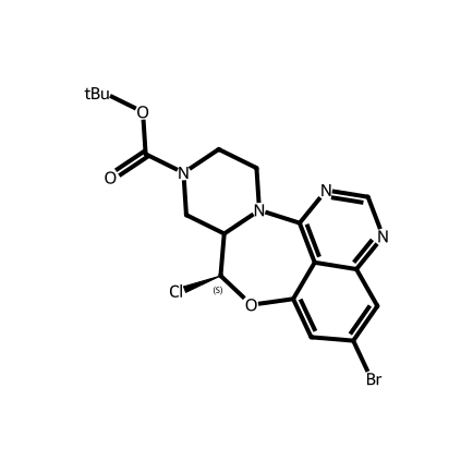 CC(C)(C)OC(=O)N1CCN2c3ncnc4cc(Br)cc(c34)O[C@@H](Cl)C2C1